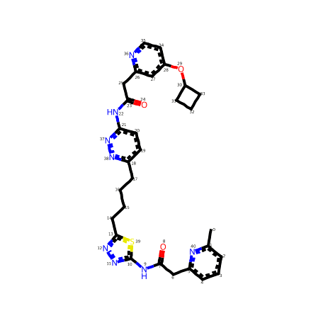 Cc1cccc(CC(=O)Nc2nnc(CCCCc3ccc(NC(=O)Cc4cc(OC5CCC5)ccn4)nn3)s2)n1